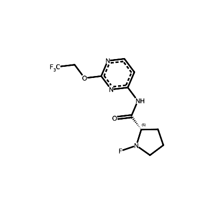 O=C(Nc1ccnc(OCC(F)(F)F)n1)[C@@H]1CCCN1F